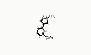 COc1ccnc(-c2cnn(C)c2)n1